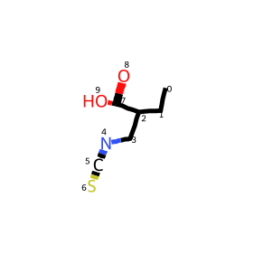 CCC(CN=C=S)C(=O)O